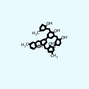 Cc1ccc(O)c(Cc2cc(-c3cc(Cc4cc(C)ccc4O)c(O)c(Cc4cc(C)ccc4O)c3)cc(Cc3cc(C)ccc3O)c2O)c1